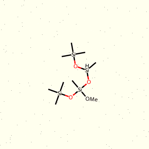 CO[Si](C)(O[SiH](C)O[Si](C)(C)C)O[Si](C)(C)C